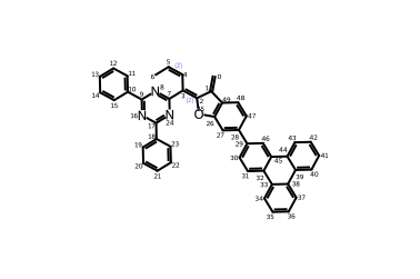 C=c1/c(=C(\C=C/C)c2nc(-c3ccccc3)nc(-c3ccccc3)n2)oc2cc(-c3ccc4c5ccccc5c5ccccc5c4c3)ccc12